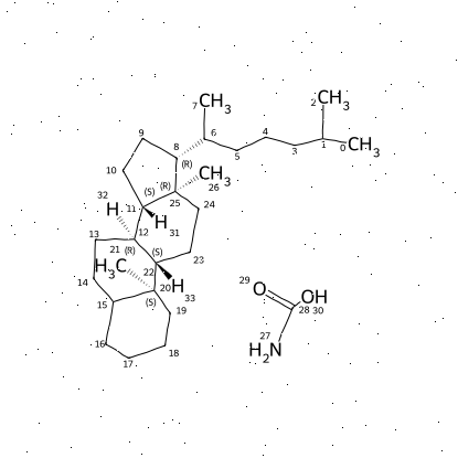 CC(C)CCCC(C)[C@H]1CC[C@H]2[C@@H]3CCC4CCCC[C@]4(C)[C@H]3CC[C@]12C.NC(=O)O